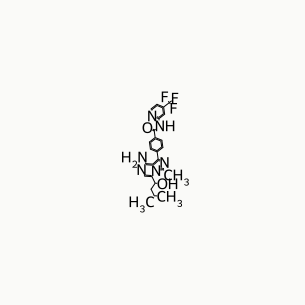 Cc1nc(-c2ccc(C(=O)Nc3cc(C(F)(F)F)ccn3)cc2)c2c(N)ncc(C(O)CC(C)C)n12